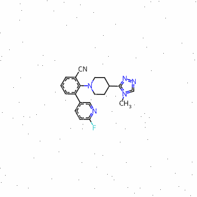 Cn1cnnc1C1CCN(c2c(C#N)cccc2-c2ccc(F)nc2)CC1